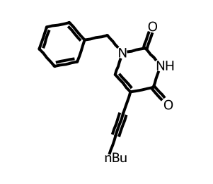 CCCCC#Cc1cn(Cc2ccccc2)c(=O)[nH]c1=O